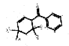 CCCCC1([N+](=O)[O-])C=CC(C(=O)c2ccccc2)C(C)(Cl)C1